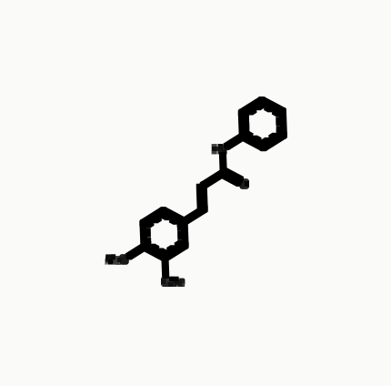 COc1ccc(/C=C/C(=O)Nc2ccccc2)cc1OC